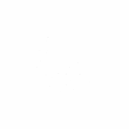 CCc1cc(C(F)(F)F)c(OCc2c(OC(=O)OC)cccc2C2CC2)cc1Cl